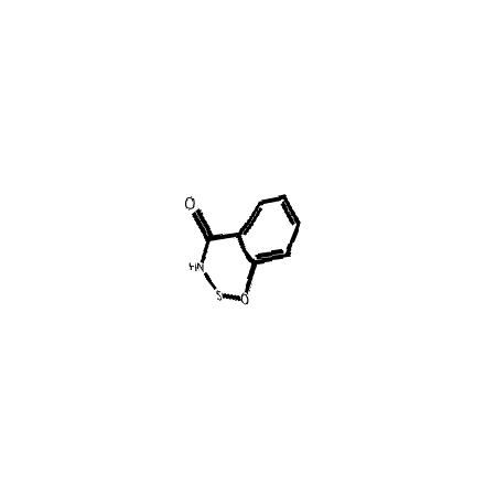 O=C1NSOc2ccccc21